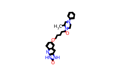 CC1CN(c2ccccc2)CCN1C(=O)CCCCOc1ccc2nc3[nH]c(=O)[nH]c3cc2c1